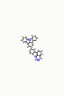 c1cc(-c2cc3c4ccccc4n4c5ccccc5c(c2)c34)cc(-c2cccc3cncnc23)c1